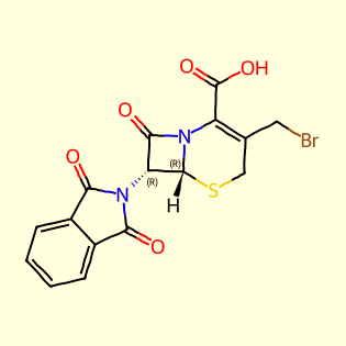 O=C(O)C1=C(CBr)CS[C@@H]2[C@H](N3C(=O)c4ccccc4C3=O)C(=O)N12